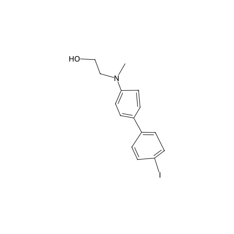 CN(CCO)c1ccc(-c2ccc(I)cc2)cc1